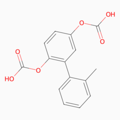 Cc1ccccc1-c1cc(OC(=O)O)ccc1OC(=O)O